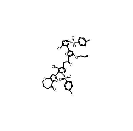 C=CCOc1cc(-c2c(Cl)ccn2S(=O)(=O)c2ccc(C)cc2)oc1C(=O)Cc1cn(S(=O)(=O)c2ccc(C)cc2)c(-c2cc3c(o2)C(=O)CCCO3)c1Cl